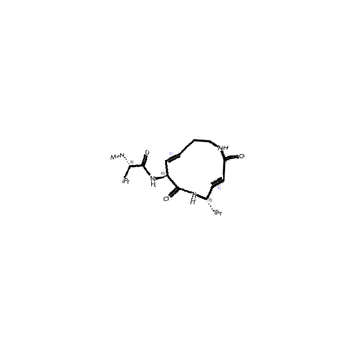 CN[C@H](C(=O)N[C@H]1/C=C/CCNC(=O)/C=C/[C@H](C(C)C)NC1=O)C(C)C